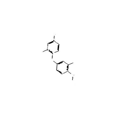 O=C(O)Nc1ccc(Oc2ccc([N+](=O)[O-])cc2O)cc1F